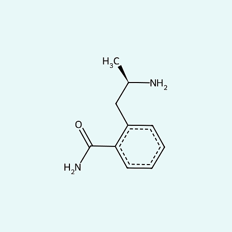 C[C@@H](N)Cc1ccccc1C(N)=O